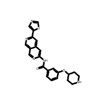 O=C(Nc1cc2cc(-c3cnco3)ncc2cn1)c1cccc(OC2CCNCC2)c1